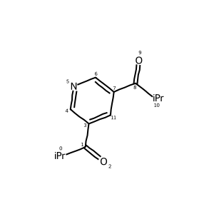 CC(C)C(=O)c1cncc(C(=O)C(C)C)c1